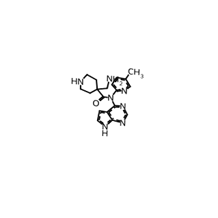 Cc1ccc(N(C(=O)C2(CN)CCNCC2)c2ncnc3[nH]ccc23)nc1